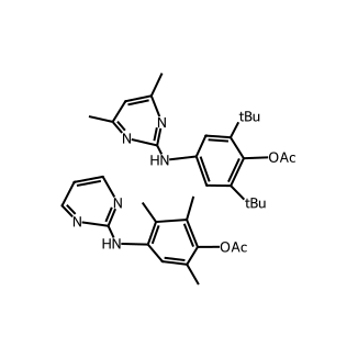 CC(=O)Oc1c(C(C)(C)C)cc(Nc2nc(C)cc(C)n2)cc1C(C)(C)C.CC(=O)Oc1c(C)cc(Nc2ncccn2)c(C)c1C